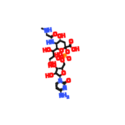 CNCC(=O)NC1C(O)CC(OP(=O)(O)OCC2OC(n3ccc(N)nc3=O)C(O)C2O)(C(=O)O)OC1[C@H](O)[C@H](O)CO